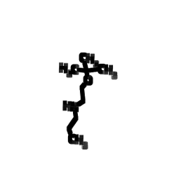 CCCNCCOC(C)(C)C